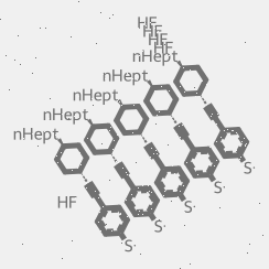 CCCCCCC[C@H]1CC[C@H](C#Cc2ccc([S])cc2)CC1.CCCCCCC[C@H]1CC[C@H](C#Cc2ccc([S])cc2)CC1.CCCCCCC[C@H]1CC[C@H](C#Cc2ccc([S])cc2)CC1.CCCCCCC[C@H]1CC[C@H](C#Cc2ccc([S])cc2)CC1.CCCCCCC[C@H]1CC[C@H](C#Cc2ccc([S])cc2)CC1.F.F.F.F.F